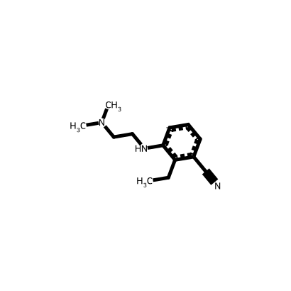 CCc1c(NCCN(C)C)[c]ccc1C#N